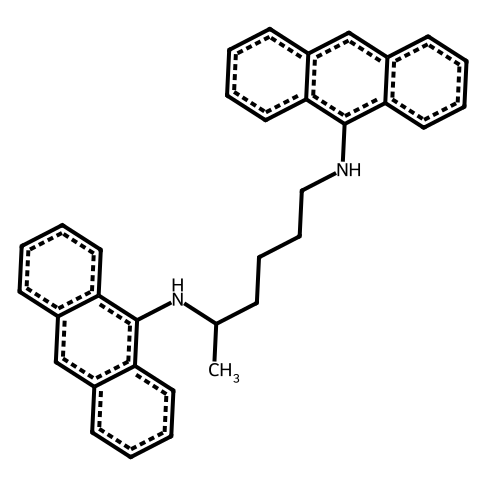 CC(CCCCNc1c2ccccc2cc2ccccc12)Nc1c2ccccc2cc2ccccc12